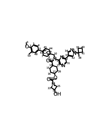 COc1ccc(C23CCC(CN(C(=O)C4CCC(OC(=O)N5CC(O)C5)CC4)c4cncc(-c5cnn(C6(C)CCC6)c5)n4)(CC2)CC3)cc1C